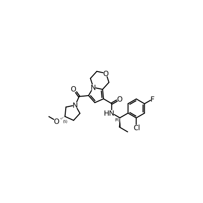 CC[C@@H](NC(=O)c1cc(C(=O)N2CC[C@H](OC)C2)n2c1COCC2)c1ccc(F)cc1Cl